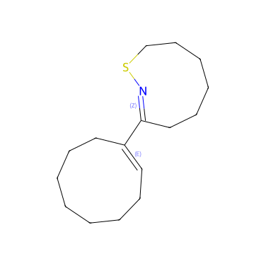 C1=C(/C2=N\SCCCCCC2)CCCCCCC/1